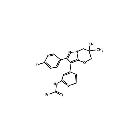 CC(C)C(=O)Nc1cc(-c2c(-c3ccc(F)cc3)nn3c2OCC(C)(C#N)C3)ccn1